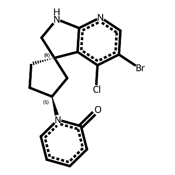 O=c1ccccn1[C@H]1CC[C@@]2(CNc3ncc(Br)c(Cl)c32)C1